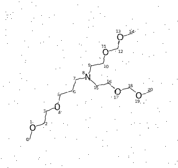 COCCOCCCN(CCOCOC)CCOCOC